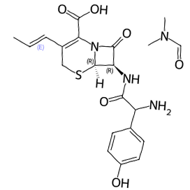 C/C=C/C1=C(C(=O)O)N2C(=O)[C@@H](NC(=O)C(N)c3ccc(O)cc3)[C@H]2SC1.CN(C)C=O